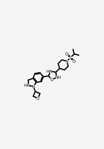 CC(C)S(=O)(=O)N1CCC(C2NOC(c3ccc4c(c3)N(C3COC3)NC4)N2)CC1